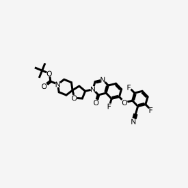 CC(C)(C)OC(=O)N1CCC2(CC1)CC(n1cnc3ccc(Oc4c(F)ccc(F)c4C#N)c(F)c3c1=O)CO2